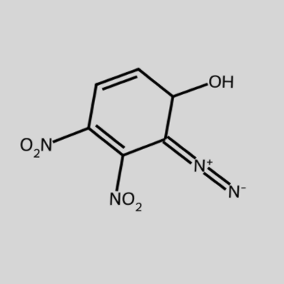 [N-]=[N+]=C1C([N+](=O)[O-])=C([N+](=O)[O-])C=CC1O